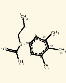 CCCOC(C)=O.Cc1cccc(C)c1C